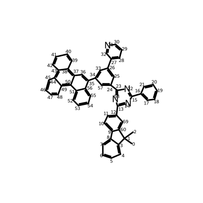 CC1(C)c2ccccc2-c2ccc(-c3nc(-c4ccccc4)nc(-c4cc(-c5cccnc5)cc(-c5cc6c7ccccc7c7ccccc7c6c6ccccc56)c4)n3)cc21